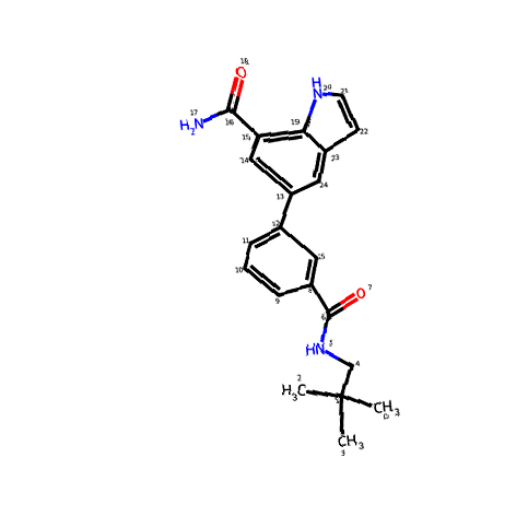 CC(C)(C)CNC(=O)c1cccc(-c2cc(C(N)=O)c3[nH]ccc3c2)c1